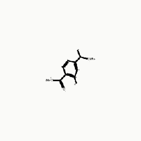 COC(=O)c1ccc(C(C)OC)cc1C